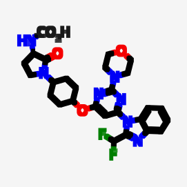 O=C(O)N[C@@H]1CCN(C2CCC(Oc3cc(-n4c(C(F)F)nc5ccccc54)nc(N4CCOCC4)n3)CC2)C1=O